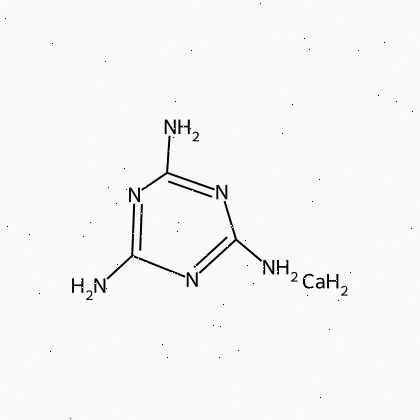 Nc1nc(N)nc(N)n1.[CaH2]